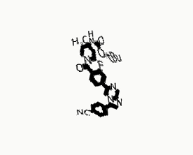 CC1(NC(=O)OC(C)(C)C)CCN(C(=O)c2ccc(-c3cn4c(-c5ccc(C#N)cc5)cnc4cn3)cc2F)CC1